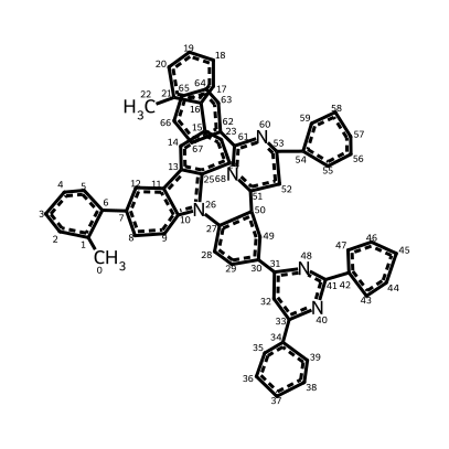 Cc1ccccc1-c1ccc2c(c1)c1cc(-c3ccccc3C)ccc1n2-c1ccc(-c2cc(-c3ccccc3)nc(-c3ccccc3)n2)cc1-c1cc(-c2ccccc2)nc(-c2ccccc2)n1